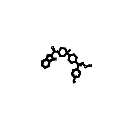 CCO/N=C(\c1ccc(Br)cc1)C1CCN(C2(C)CCN(C(=O)c3cc4ccccc4[nH]3)CC2)CC1